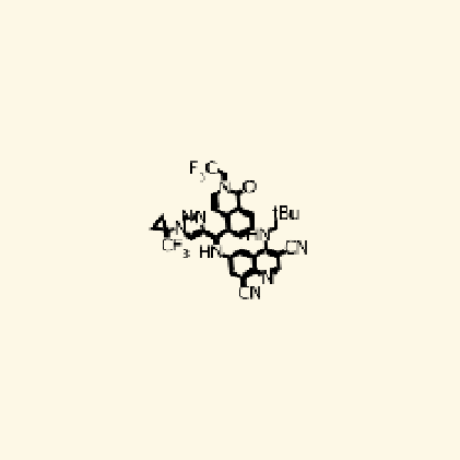 CC(C)(C)CNc1c(C#N)cnc2c(C#N)cc(NC(c3cn(C4(C(F)(F)F)CC4)nn3)c3cccc4c(=O)n(CC(F)(F)F)ccc34)cc12